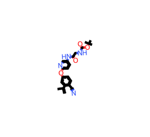 C=C(C)c1cc(Oc2ccc(NC(=O)CNC(=O)OC(C)(C)C)cn2)ccc1C#N